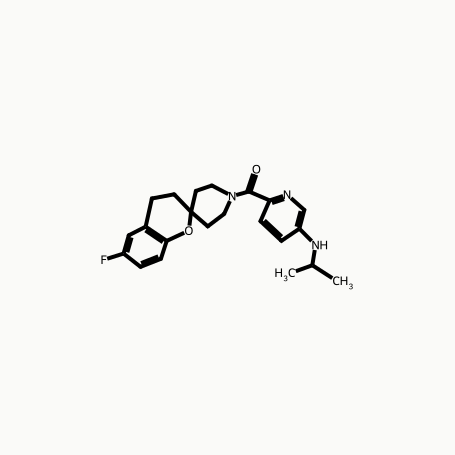 CC(C)Nc1ccc(C(=O)N2CCC3(CCc4cc(F)ccc4O3)CC2)nc1